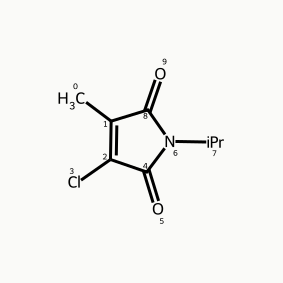 CC1=C(Cl)C(=O)N(C(C)C)C1=O